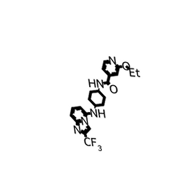 CCOc1cc(C(=O)N[C@H]2CC[C@@H](Nc3cccc4nc(C(F)(F)F)cn34)CC2)ccn1